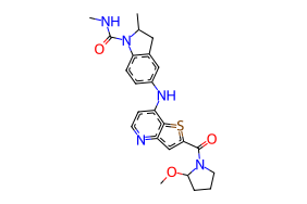 CNC(=O)N1c2ccc(Nc3ccnc4cc(C(=O)N5CCCC5OC)sc34)cc2CC1C